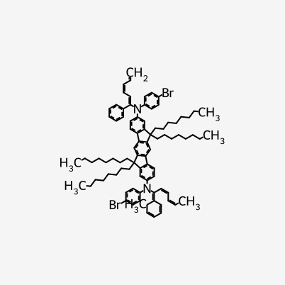 C=C/C=C\C=C(/c1ccccc1)N(c1ccc(Br)cc1)c1ccc2c(c1)C(CCCCCCCC)(CCCCCCCC)c1cc3c(cc1-2)C(CCCCCCCC)(CCCCCCCC)c1cc(N(C(/C=C\C=C/C)=C2/C=CC=CC2C)c2ccc(Br)cc2)ccc1-3